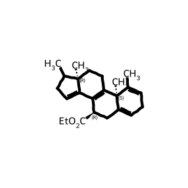 CCOC(=O)[C@@H]1CC2=CCC=C(C)[C@]2(C)C2=C1C1=CCC(C)[C@@]1(C)CC2